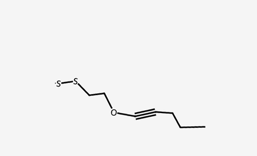 CCCC#COCCS[S]